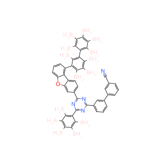 Bc1c(B)c(B)c(-c2nc(-c3cccc(-c4cccc(C#N)c4)c3)nc(-c3ccc4c(c3)oc3cccc(-c5c(B)c(B)c(B)c(-c6c(B)c(B)c(B)c(B)c6B)c5B)c34)n2)c(B)c1B